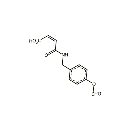 O=COc1ccc(CNC(=O)/C=C\C(=O)O)cc1